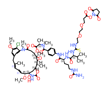 COc1cc2cc(c1Cl)N(C)C(=O)C[C@H](OC(=O)[C@H](C)N(C)C(=O)c1ccc(NC(=O)[C@H](CCCNC(N)=O)NC(=O)[C@@H](NC(=S)NCCOCCOCCC(=O)ON3C(=O)CCC3=O)C(C)C)cc1)[C@]1(C)O[C@H]1[C@H](C)[C@@H]1C[C@@](O)(NC(=O)O1)[C@H](OC)/C=C/C=C(\C)C2